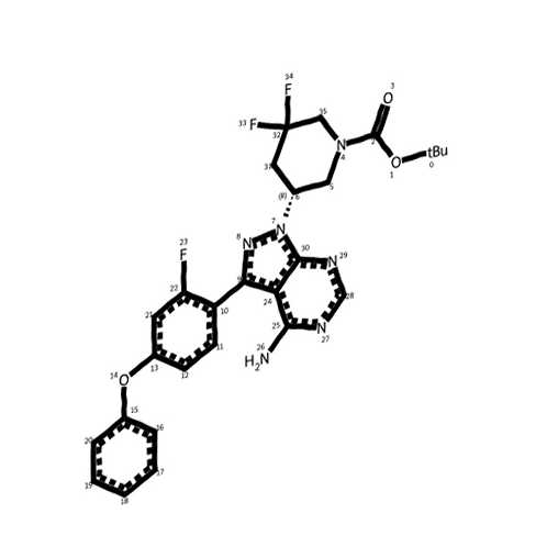 CC(C)(C)OC(=O)N1C[C@H](n2nc(-c3ccc(Oc4ccccc4)cc3F)c3c(N)ncnc32)CC(F)(F)C1